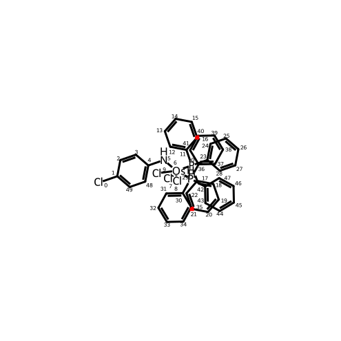 Clc1ccc([NH][Os]([Cl])([Cl])([Cl])([PH](c2ccccc2)(c2ccccc2)c2ccccc2)[PH](c2ccccc2)(c2ccccc2)c2ccccc2)cc1